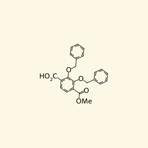 COC(=O)c1ccc(C(=O)O)c(OCc2ccccc2)c1OCc1ccccc1